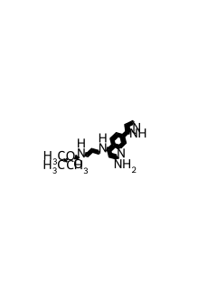 CC(C)(C)OC(=O)NCCCNc1cc(N)nc2cc(-c3ccn[nH]3)ccc12